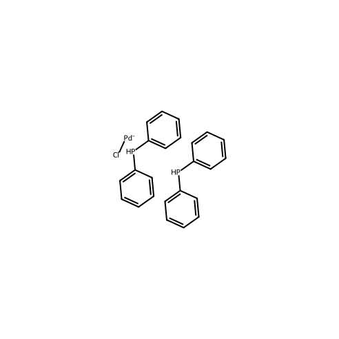 [Cl][Pd-].c1ccc(Pc2ccccc2)cc1.c1ccc(Pc2ccccc2)cc1